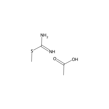 CC(=O)O.CSC(=N)N